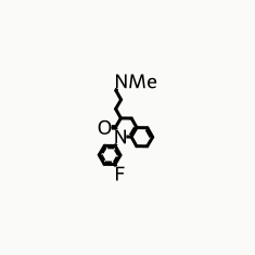 CNCCCC1CC2=C(CCC=C2)N(c2cccc(F)c2)C1=O